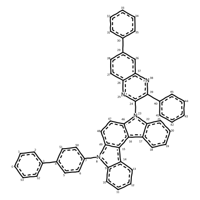 c1ccc(-c2ccc(-n3c4ccccc4c4c5c6ccccc6n(-c6nc7ccc(-c8ccccc8)cc7nc6-c6ccccc6)c5ccc43)cc2)cc1